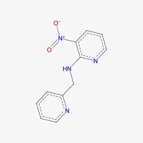 O=[N+]([O-])c1cccnc1NCc1ccccn1